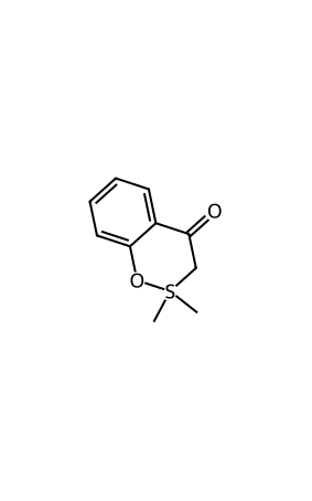 CS1(C)CC(=O)c2ccccc2O1